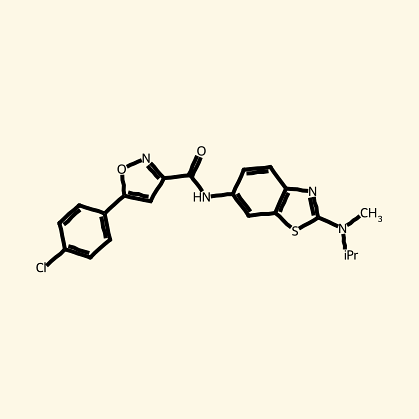 CC(C)N(C)c1nc2ccc(NC(=O)c3cc(-c4ccc(Cl)cc4)on3)cc2s1